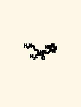 CN(CCCN)C(=O)NCc1nnn[nH]1